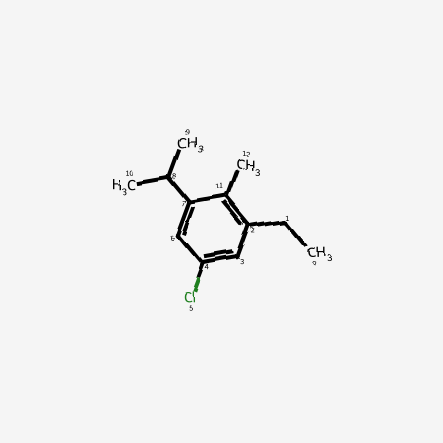 CCc1cc(Cl)cc(C(C)C)c1C